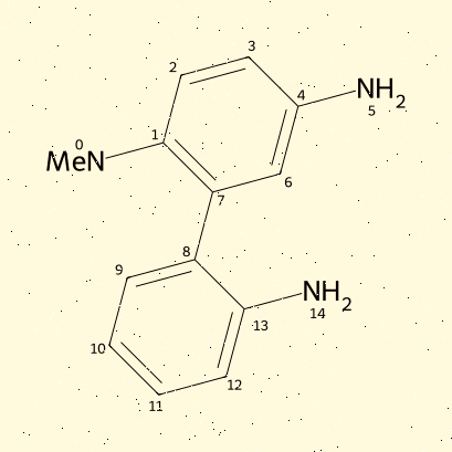 CNc1ccc(N)cc1-c1ccccc1N